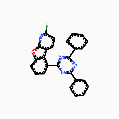 Clc1ccc2c(n1)oc1cccc(-c3nc(-c4ccccc4)nc(-c4ccccc4)n3)c12